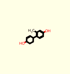 Cc1cc(O)ccc1C1C=CC(O)CC1